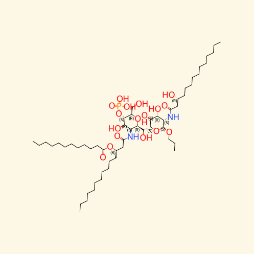 CCCCCCCCCCCC(=O)O[C@H](CCCCCCCCCCC)CC(=O)N[C@H]1[C@@H](O)[C@H](OP(=O)(O)O)[C@@H](CO)O[C@H]1C(O)[C@H]1O[C@H](OCCC)[C@@H](NC(=O)C[C@H](O)CCCCCCCCCCC)[C@@H](O)[C@@H]1O